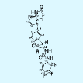 O=C1CCc2c(Oc3ccc4c(c3)[C@H]3C(NC(=O)Nc5ccc(F)c(F)c5F)[C@H]3O4)ccnc2N1